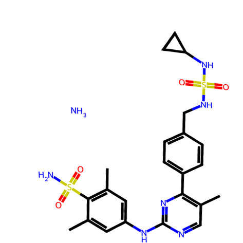 Cc1cnc(Nc2cc(C)c(S(N)(=O)=O)c(C)c2)nc1-c1ccc(CNS(=O)(=O)NC2CC2)cc1.N